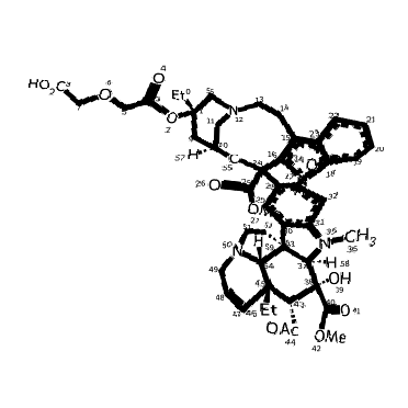 CC[C@]1(OC(=O)COCC(=O)O)C[C@H]2CN(CCc3c([nH]c4ccccc34)C(C(=O)OC)(c3cc4c(cc3OC)N(C)[C@H]3[C@@](O)(C(=O)OC)[C@H](OC(C)=O)[C@]5(CC)C=CCN6CC[C@]43[C@@H]65)C2)C1